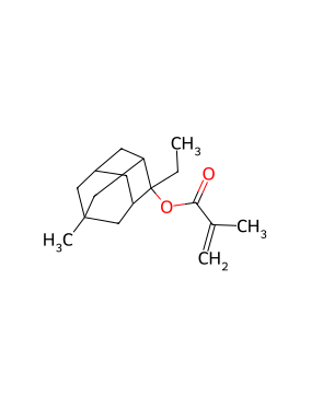 C=C(C)C(=O)OC1(CC)C2CC3CC1CC(C)(C3)C2